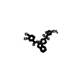 Cn1cnc(S(=O)(=O)N2CCC3(CC2)c2ccccc2CC3NC(=O)c2ccc(Cl)c(Cl)c2)c1